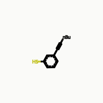 CCCCC#Cc1cccc(S)c1